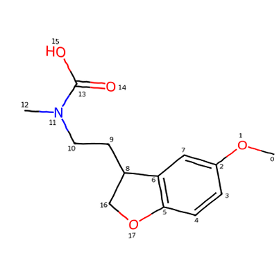 COc1ccc2c(c1)C(CCN(C)C(=O)O)CO2